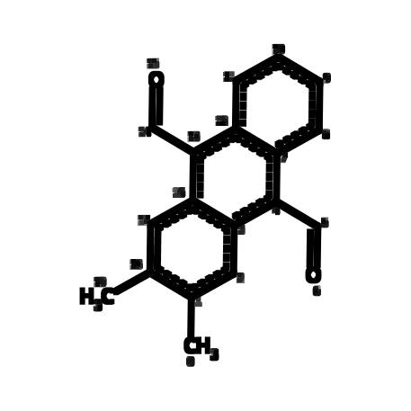 Cc1cc2c(C=O)c3ccccc3c(C=O)c2cc1C